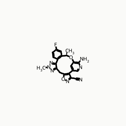 C[C@H]1Oc2cc(cnc2N)-c2c(C#N)noc2Cc2nn(C)nc2-c2ccc(F)cc21